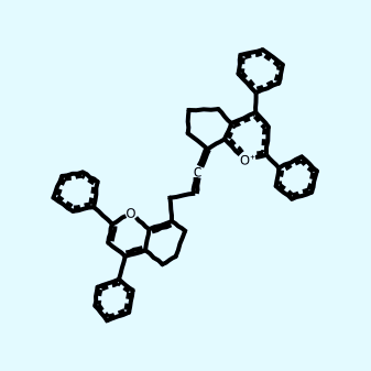 C(=CCC1=C2OC(c3ccccc3)=CC(c3ccccc3)=C2CCC1)=C1CCCc2c(-c3ccccc3)cc(-c3ccccc3)[o+]c21